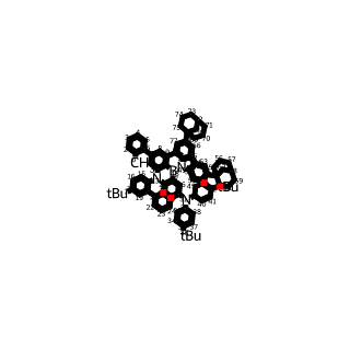 Cc1ccccc1-c1cc2c3c(c1)N(c1ccc(C(C)(C)C)cc1-c1ccccc1)c1ccc(N(c4ccc(C(C)(C)C)cc4)C4C=CC(C(C)(C)C)=CC4)cc1B3n1c3ccc(C45CCCC(CCC4)C5)cc3c3cc(C45CCCC(CCC4)C5)cc-2c31